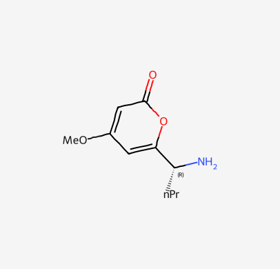 CCC[C@@H](N)c1cc(OC)cc(=O)o1